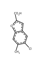 Cc1cc2oc(C(=O)O)cc2cc1Cl